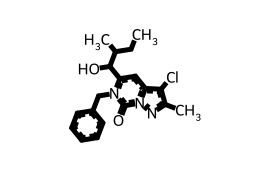 CCC(C)C(O)c1cc2c(Cl)c(C)nn2c(=O)n1Cc1ccccc1